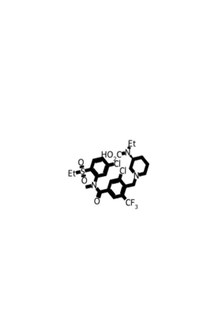 CCN(C(=O)O)[C@H]1CCCN(Cc2c(Cl)cc(C(=O)N(C)c3cc(Cl)ccc3S(=O)(=O)CC)cc2C(F)(F)F)C1